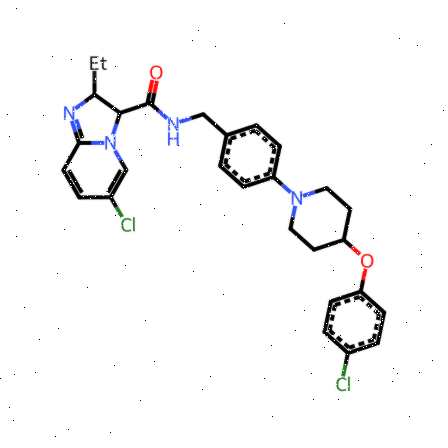 CCC1N=C2C=CC(Cl)=CN2C1C(=O)NCc1ccc(N2CCC(Oc3ccc(Cl)cc3)CC2)cc1